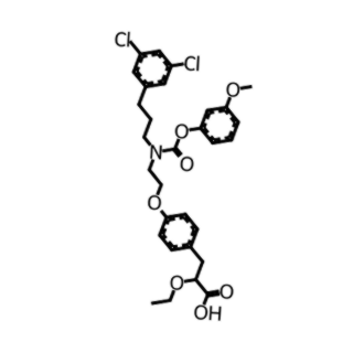 CCOC(Cc1ccc(OCCN(CCCc2cc(Cl)cc(Cl)c2)C(=O)Oc2cccc(OC)c2)cc1)C(=O)O